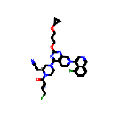 N#CC[C@H]1CN(c2nc(OCCCOC3CC3)nc3c2CCN(c2cncc4cccc(F)c24)C3)CCN1C(=O)/C=C/CF